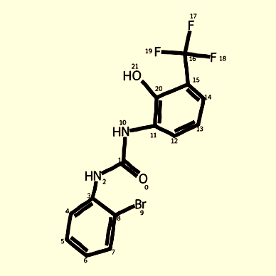 O=C(Nc1ccccc1Br)Nc1cccc(C(F)(F)F)c1O